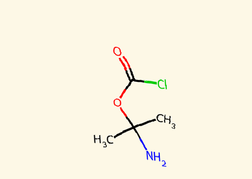 CC(C)(N)OC(=O)Cl